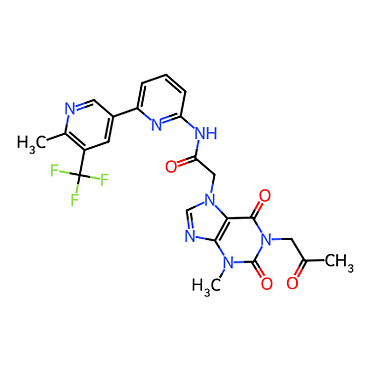 CC(=O)Cn1c(=O)c2c(ncn2CC(=O)Nc2cccc(-c3cnc(C)c(C(F)(F)F)c3)n2)n(C)c1=O